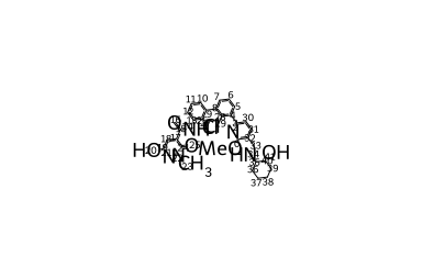 COc1nc(-c2cccc(-c3cccc(NC(=O)c4cc(O)nn(C)c4=O)c3Cl)c2Cl)ccc1CN[C@@H]1CCCC[C@@H]1O